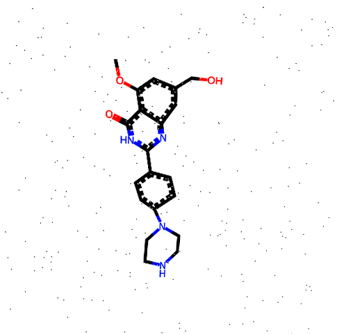 COc1cc(CO)cc2nc(-c3ccc(N4CCNCC4)cc3)[nH]c(=O)c12